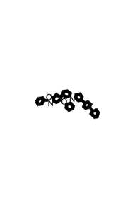 c1ccc(-c2ccc(-c3cccc(N(c4ccccc4)c4cccc5c4oc4cc6nc(-c7ccccc7)oc6cc45)c3)cc2)cc1